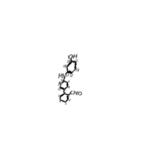 O=Cc1ccccc1-c1ccc(Nc2cccc(O)c2)nc1